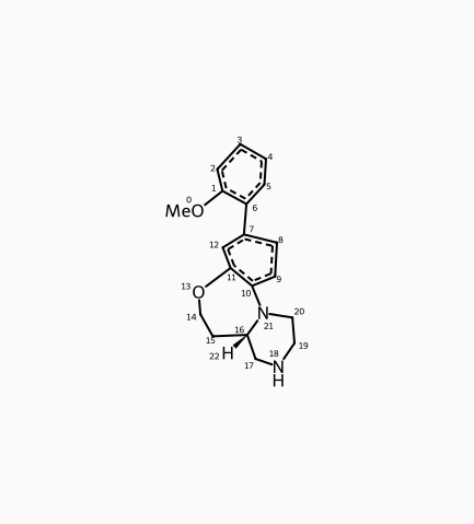 COc1ccccc1-c1ccc2c(c1)OCC[C@H]1CNCCN21